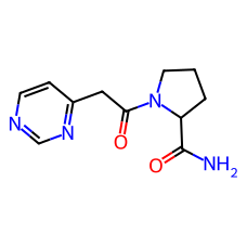 NC(=O)C1CCCN1C(=O)Cc1ccncn1